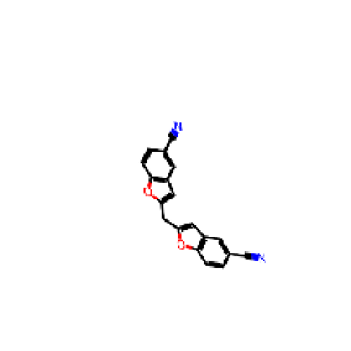 N#Cc1ccc2oc(Cc3cc4cc(C#N)ccc4o3)cc2c1